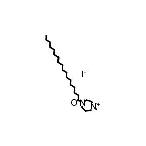 CCCCCCCCCCCCCCCCCC(=O)N1CCC[N+](C)(C)CC1.[I-]